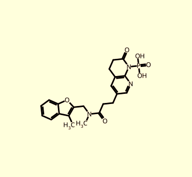 Cc1c(CN(C)C(=O)CCc2cnc3c(c2)CCC(=O)N3P(=O)(O)O)oc2ccccc12